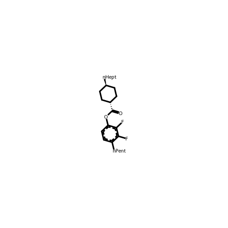 CCCCCCC[C@H]1CC[C@H](C(=O)Oc2ccc(CCCCC)c(F)c2F)CC1